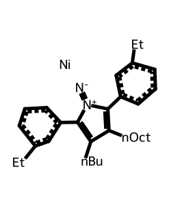 CCCCCCCCC1=C(c2cccc(CC)c2)[N+](=[N-])C(c2cccc(CC)c2)=C1CCCC.[Ni]